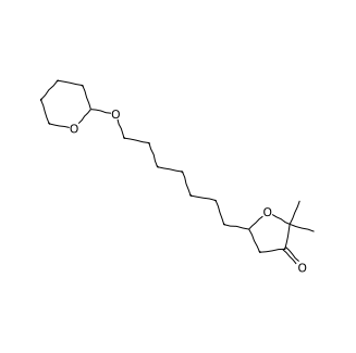 CC1(C)OC(CCCCCCCOC2CCCCO2)CC1=O